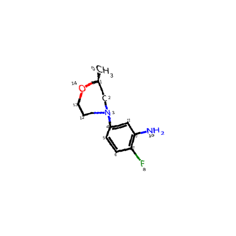 C[C@H]1CN(c2ccc(F)c(N)c2)CCO1